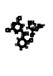 Clc1nc(Cl)nc(Nc2ccccc2Cl)n1.NCC(=O)[O-].[Na+]